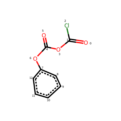 O=C(Cl)OC(=O)Oc1ccccc1